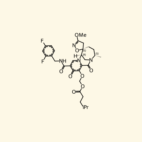 COC1=NO[C@@]2(CC[C@H](C)N3C[C@H]2n2cc(C(=O)NCc4ccc(F)cc4F)c(=O)c(OCOC(=O)CCC(C)C)c2C3=O)C1